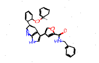 C[C@]1(OC2C=CC=CC2c2cnc3[nH]cc(-c4coc(C(=O)NCc5ccccc5)c4)c3c2)C=CC=CC1